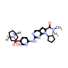 CN(C)C(=O)c1cc2cnc(Nc3ccc(C(=O)N4[C@@H]5CC[C@H]4C[C@@H](O)C5)cn3)nc2n1C1CCCC1